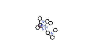 c1ccc(C2=NC(c3ccc4c5ccccc5n(-c5ccccc5)c4c3)=NC(c3c(-n4c5ccccc5c5ccccc54)ccc4ccccc34)N2)cc1